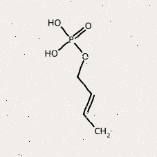 [CH2]C=CCOP(=O)(O)O